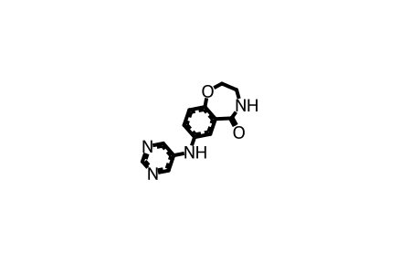 O=C1NCCOc2ccc(Nc3cncnc3)cc21